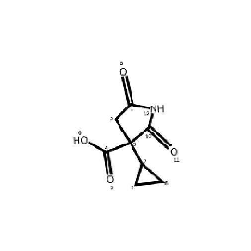 O=C1CC(C(=O)O)(C2CC2)C(=O)N1